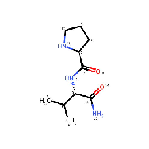 CC(C)[C@H](NC(=O)[C@@H]1CCCN1)C(N)=O